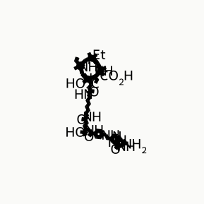 C=Cc1c(C)c2cc3nc(c(CC(=O)O)c4[nH]c(cc5nc(cc1[nH]2)C(C)=C5CC)c(C)c4C(=O)O)C(CCC(=O)NCCCCCCNC(=O)CCC(NC(=O)c1ccc(NCc2cnc4nc(N)[nH]c(=O)c4n2)cc1)C(=C)O)C3C